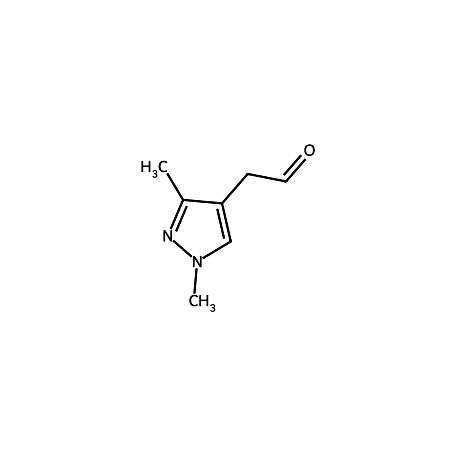 Cc1nn(C)cc1CC=O